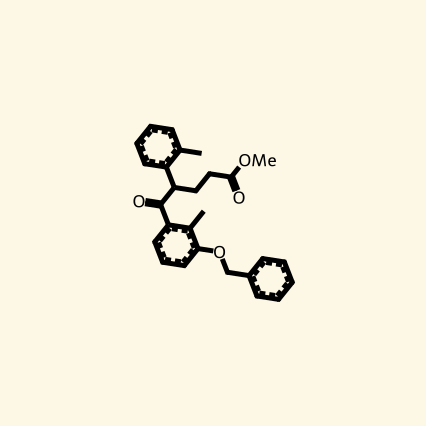 COC(=O)CCC(C(=O)c1cccc(OCc2ccccc2)c1C)c1ccccc1C